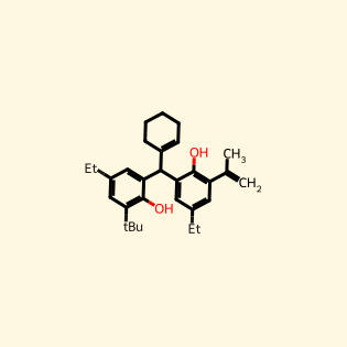 C=C(C)c1cc(CC)cc(C(C2=CCCCC2)c2cc(CC)cc(C(C)(C)C)c2O)c1O